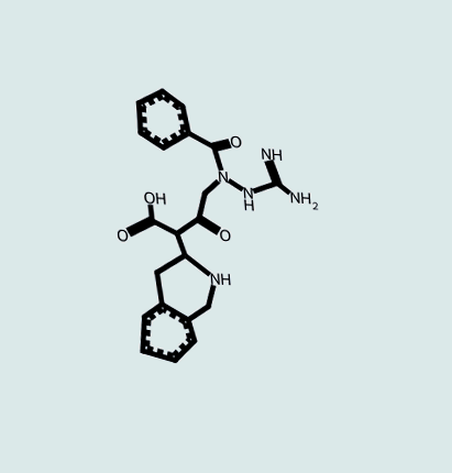 N=C(N)NN(CC(=O)C(C(=O)O)C1Cc2ccccc2CN1)C(=O)c1ccccc1